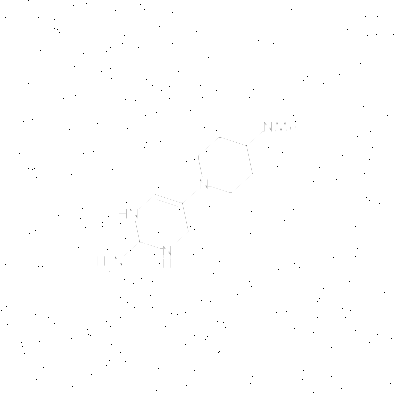 CNC1CCN(C2=CNC(N)NC2)CC1